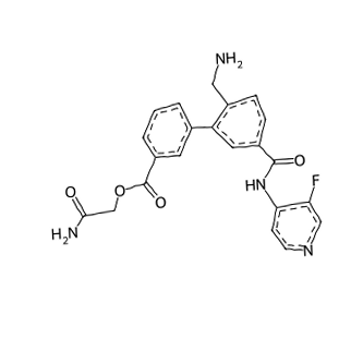 NCc1ccc(C(=O)Nc2ccncc2F)cc1-c1cccc(C(=O)OCC(N)=O)c1